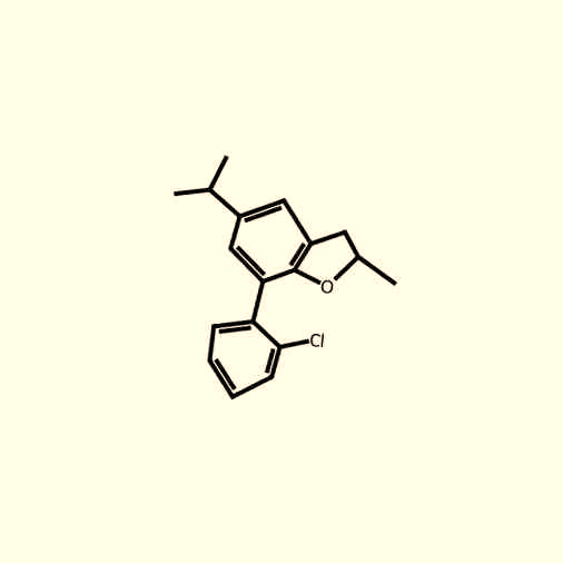 CC1Cc2cc(C(C)C)cc(-c3ccccc3Cl)c2O1